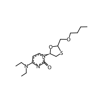 CCCCOCC1O[C@H](n2ccc(N(CC)CC)nc2=O)CS1